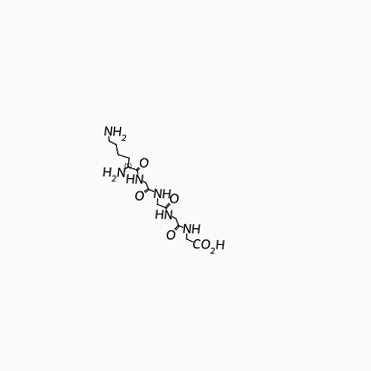 NCCCC[C@H](N)C(=O)NCC(=O)NCC(=O)NCC(=O)NCC(=O)O